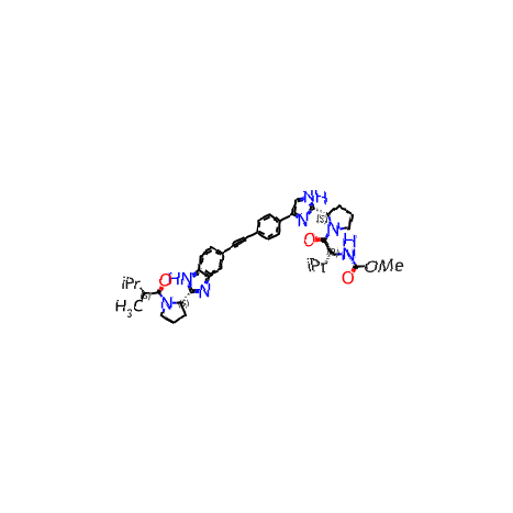 COC(=O)N[C@@H](C(=O)N1CCC[C@H]1c1nc(-c2ccc(C#Cc3ccc4[nH]c([C@@H]5CCCN5C(=O)[C@@H](C)C(C)C)nc4c3)cc2)c[nH]1)C(C)C